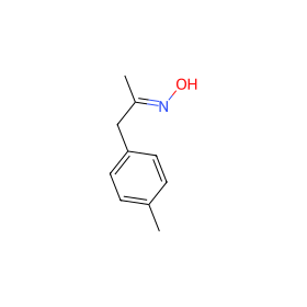 CC(Cc1ccc(C)cc1)=NO